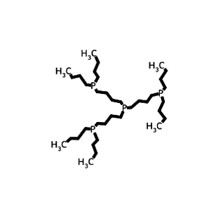 CCCCP(CCCC)CCCCP(CCCCP(CCCC)CCCC)CCCCP(CCCC)CCCC